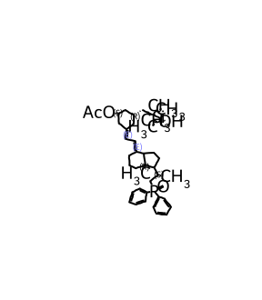 CC(=O)O[C@@H]1C/C(=C/C=C2\CCC[C@@]3(C)C2CCC3[C@H](C)CP(=O)(c2ccccc2)c2ccccc2)C[C@@H](CC(C)(C)[Si](C)(C)O)C1